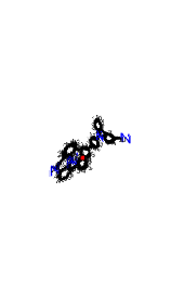 N#Cc1ccc2c(c1)c1ccccc1n2-c1ccc(C2=CC(c3cccc(C#N)c3-n3c4c(c5ccccc53)CCC=C4)CC=C2)cc1